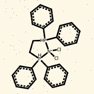 Cl[N+]1(Cl)[PH](c2ccccc2)(c2ccccc2)CC[PH]1(c1ccccc1)c1ccccc1